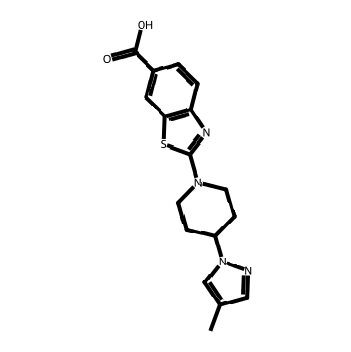 Cc1cnn(C2CCN(c3nc4ccc(C(=O)O)cc4s3)CC2)c1